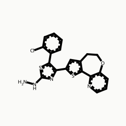 NNc1nc(-c2cc3c(s2)-c2ncccc2OCC3)c(-c2ccccc2Cl)s1